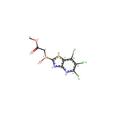 COC(=O)C[S+]([O-])c1nc2nc(F)c(F)c(F)c2s1